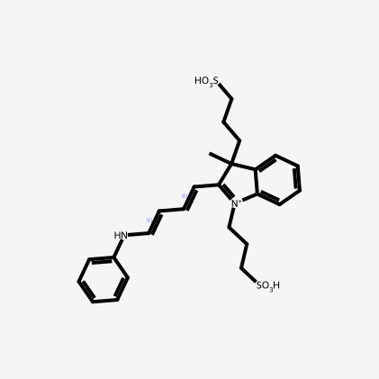 CC1(CCCS(=O)(=O)O)C(/C=C/C=C/Nc2ccccc2)=[N+](CCCS(=O)(=O)O)c2ccccc21